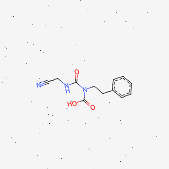 N#CCNC(=O)N(CCc1ccccc1)C(=O)O